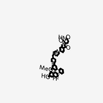 COc1cc(N2CCC(CN3CCN(c4ccc5c(c4)CN([C@H]4CCC(=O)NC4=O)C5=O)CC3)CC2)ccc1[C@H]1c2ccc(O)cc2C(F)(F)C[C@H]1c1ccccc1